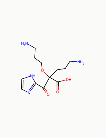 NCCCOC(CCCN)(C(=O)O)C(=O)c1ncc[nH]1